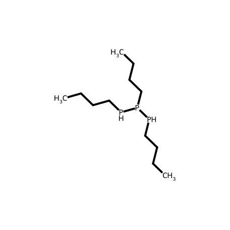 CCCCPP(CCCC)PCCCC